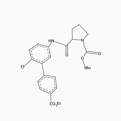 CCOC(=O)c1ccc(-c2cc(NC(=O)C3CCCN3C(=O)OC(C)(C)C)ccc2Cl)cc1